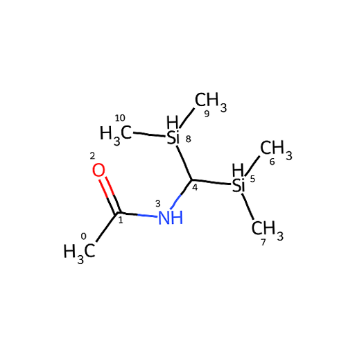 CC(=O)NC([SiH](C)C)[SiH](C)C